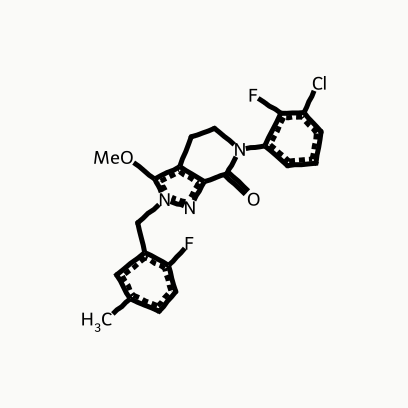 COc1c2c(nn1Cc1cc(C)ccc1F)C(=O)N(c1cccc(Cl)c1F)CC2